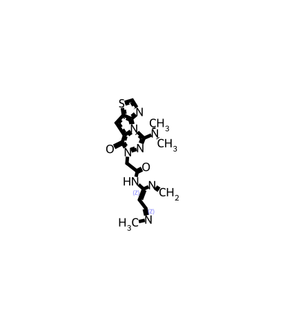 C=N/C(=C\C=N/C)NC(=O)Cn1nc(N(C)C)n2c(cc3scnc32)c1=O